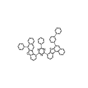 c1ccc(-c2cccc(-c3cc4ccccc4c4c3sc3c(-c5nc(-c6ccccc6)nc(-c6cccc7oc8c(-c9ccccc9)c9ccccc9cc8c67)n5)cccc34)c2)cc1